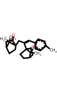 Cc1ccc(C=C(CC23CCC(CC2=O)C3(C)C)C23CCC(CC2=O)C3(C)C)cc1